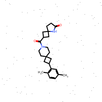 Cc1ccc(C)c(C2CC3(CCN(C(=O)C4CC5(CCC(=O)N5)C4)CC3)C2)c1